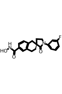 O=C(NO)c1ccc2c(c1)CC[C@]1(CCN(c3cccc(F)c3)C1=O)C2